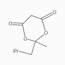 CC(C)CC1(C)OC(=O)CC(=O)O1